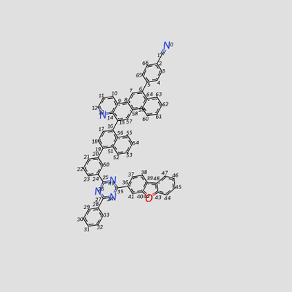 N#Cc1ccc(-c2cc3c4cccnc4c(-c4ccc(-c5cccc(-c6nc(-c7ccccc7)nc(-c7ccc8c(c7)oc7ccccc78)n6)c5)c5ccccc45)cc3c3ccccc23)cc1